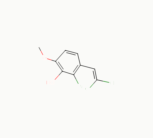 COc1ccc(C=C(Cl)Cl)c(Br)c1O